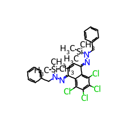 C[Si](C)(C)N(Cc1ccccc1)N=C1C=CC(=NN(Cc2ccccc2)[Si](C)(C)C)c2c(Cl)c(Cl)c(Cl)c(Cl)c21